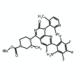 Cc1ccnc(C(C)C)c1-n1c(=O)nc(N2CCN(C(=O)OC(C)(C)C)C[C@@H]2C)c2cc(F)c(-c3c(N)c(F)c(F)c(F)c3F)nc21